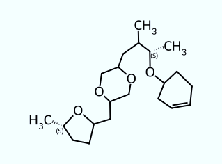 CC(CC1COC(CC2CC[C@H](C)O2)CO1)[C@H](C)OC1CC=CCC1